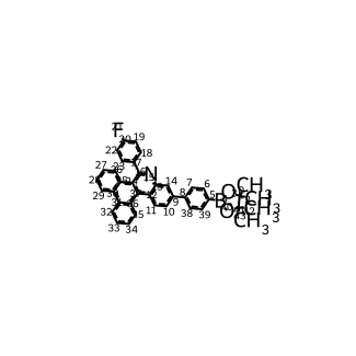 CC1(C)OB(c2ccc(-c3ccc4c(c3)nc(-c3ccc(F)cc3)c3c5ccccc5c5ccccc5c43)cc2)OC1(C)C